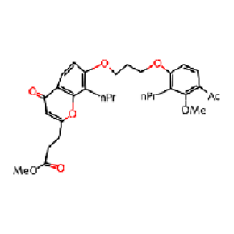 CCCc1c(OCCCOc2ccc3c(=O)cc(CCC(=O)OC)oc3c2CCC)ccc(C(C)=O)c1OC